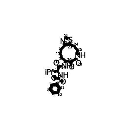 CC(C)C(NS(=O)(=O)c1ccccc1)C(=O)NC1CCCc2ncsc2CCNC(=O)C1=O